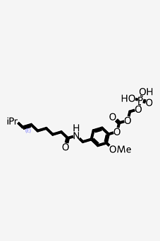 COc1cc(CNC(=O)CCCC/C=C/C(C)C)ccc1OC(=O)OCOP(=O)(O)O